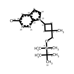 CC1(CO[Si](C)(C)C(C)(C)C)CC(n2ccc3cc(Cl)nnc32)C1